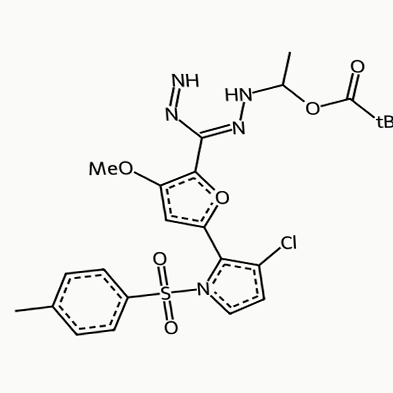 COc1cc(-c2c(Cl)ccn2S(=O)(=O)c2ccc(C)cc2)oc1/C(N=N)=N/NC(C)OC(=O)C(C)(C)C